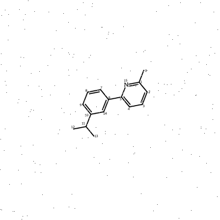 Cc1cccc(-c2cccc(C(C)C)c2)n1